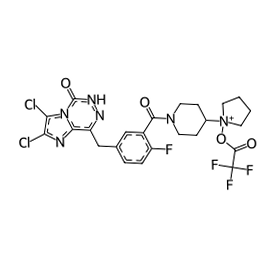 O=C(c1cc(Cc2n[nH]c(=O)n3c(Cl)c(Cl)nc23)ccc1F)N1CCC([N+]2(OC(=O)C(F)(F)F)CCCC2)CC1